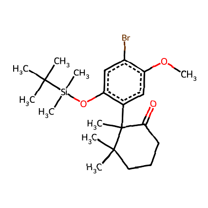 COc1cc(C2(C)C(=O)CCCC2(C)C)c(O[Si](C)(C)C(C)(C)C)cc1Br